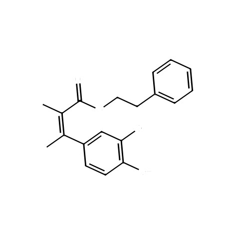 CC(C(=O)OCCc1ccccc1)=C(C)c1ccc(O)c(O)c1